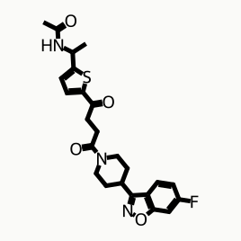 CC(=O)NC(C)c1ccc(C(=O)CCC(=O)N2CCC(c3noc4cc(F)ccc34)CC2)s1